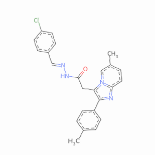 Cc1ccc(-c2nc3ccc(C)cn3c2CC(=O)NN=Cc2ccc(Cl)cc2)cc1